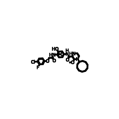 COC1C(C(=O)NC23CCC(NC(=O)COc4ccc(Cl)c(F)c4)(CC2)C(O)C3)NCCN1C1CCCCCCCCC1